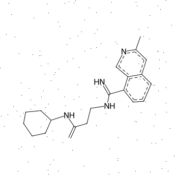 C=C(CCNC(=N)c1cccc2cc(C)ncc12)NC1CCCCC1